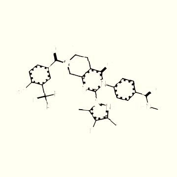 CNC(=O)c1ccc(-n2c(-n3nc(C)c(F)c3C)nc3c(c2=O)C[C@@H](C)N(C(=O)c2ccc(Br)c(C(F)(F)F)c2)C3)cc1